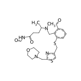 CC(CCC(=O)NC=O)N(C)Cc1c(C=O)cccc1SCc1csc(CN2CCOCC2)n1